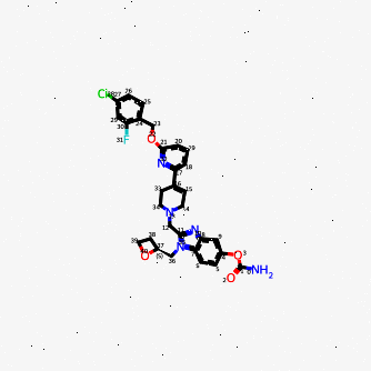 NC(=O)Oc1ccc2c(c1)nc(CN1CC=C(c3cccc(OCc4ccc(Cl)cc4F)n3)CC1)n2C[C@@H]1CCO1